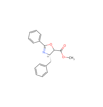 COC(=O)C1OC(c2ccccc2)=N[C@H]1Cc1ccccc1